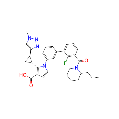 CCCC1CCCCN1C(=O)c1cccc(-c2cccc(-n3ccc(C(=O)O)c3[C@@H]3C[C@H]3c3cn(C)nn3)c2)c1F